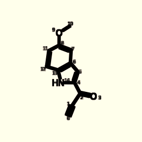 C#CC(=O)c1cc2cc(OC)ccc2[nH]1